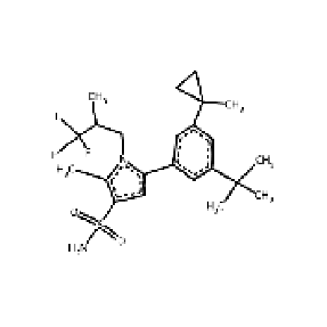 Cc1c(S(N)(=O)=O)cc(-c2cc(C(C)(C)C)cc(C3(C)CC3)c2)n1CC(C)C(F)(F)F